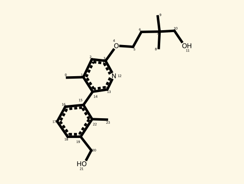 Cc1cc(OCCC(C)(C)CO)ncc1-c1cccc(CO)c1C